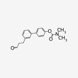 CN(C)C(=O)Oc1ccc(-c2cccc(CCC=O)c2)cc1